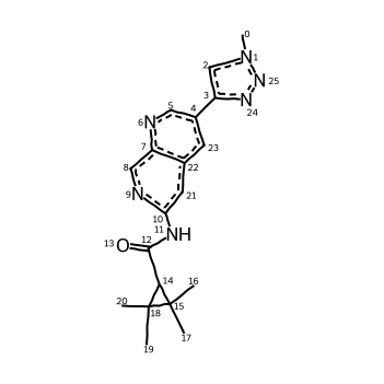 Cn1cc(-c2cnc3cnc(NC(=O)C4C(C)(C)C4(C)C)cc3c2)nn1